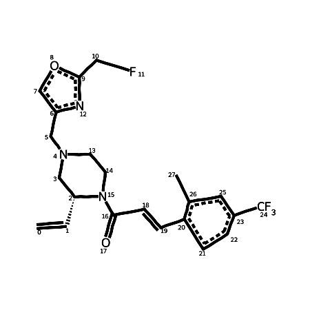 C=C[C@@H]1CN(Cc2coc(CF)n2)CCN1C(=O)/C=C/c1ccc(C(F)(F)F)cc1C